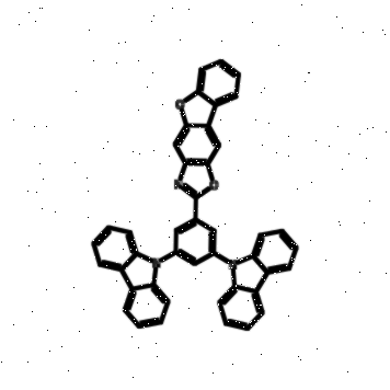 c1ccc2c(c1)oc1cc3nc(-c4cc(-n5c6ccccc6c6ccccc65)cc(-n5c6ccccc6c6ccccc65)c4)oc3cc12